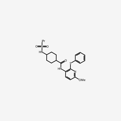 COc1ccc(NC(=O)C2CCC(NS(=O)(=O)C(C)C)CC2)c(Sc2ccccc2)n1